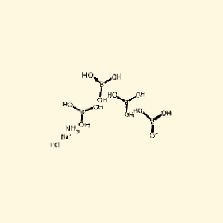 Cl.N.OB(O)O.OB(O)O.OB(O)O.[Na+].[O-]B(O)O